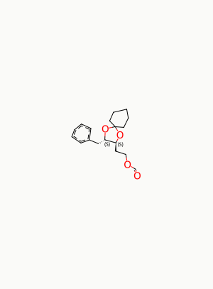 O=COCC[C@@H]1OC2(CCCCC2)O[C@H]1Cc1ccccc1